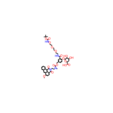 COc1ccc2c3c(c4ccccc4cc13)C(=O)N(CCN(C)C(=O)OCc1ccc(O[C@@H]3O[C@H](C(=O)O)C[C@H](O)[C@H]3O)c(C(=O)NCCOCCOCCONC(=O)OC(C)(C)C)c1)C2=O